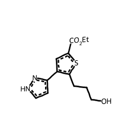 CCOC(=O)c1cc(-c2cc[nH]n2)c(CCCO)s1